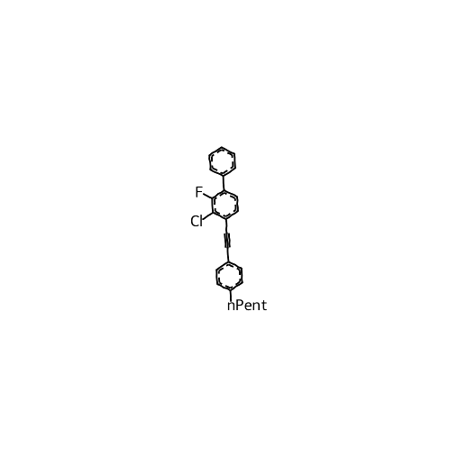 CCCCCc1ccc(C#Cc2ccc(-c3ccccc3)c(F)c2Cl)cc1